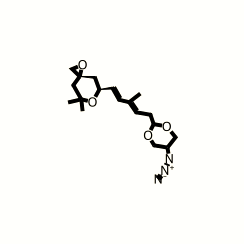 CC(/C=C/[C@@H]1C[C@]2(CO2)CC(C)(C)O1)=C\CC1OCC(N=[N+]=[N-])CO1